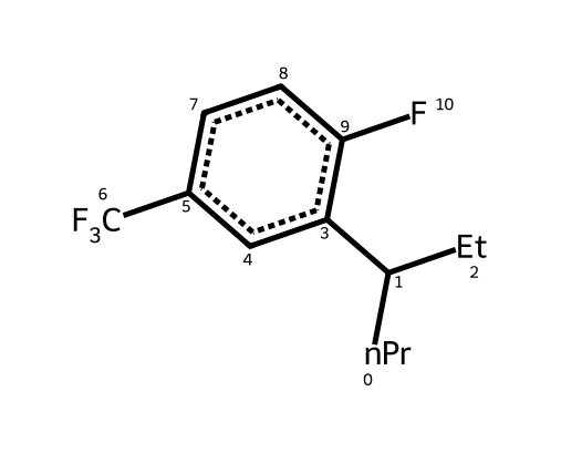 CCCC(CC)c1cc(C(F)(F)F)ccc1F